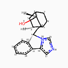 O[C@@H]1C2CCC(CC2)[C@H]1[C@H]1c2ccccc2-c2cncn21